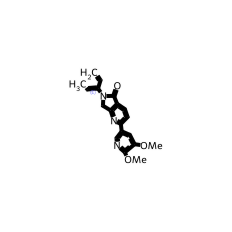 C=C/C(=C\C)N1Cc2nc(-c3cnc(OC)c(OC)c3)ccc2C1=O